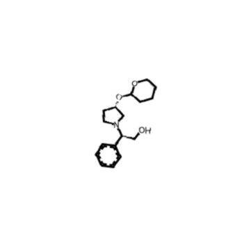 OC[C@@H](c1ccccc1)N1CC[C@H](OC2CCCCO2)C1